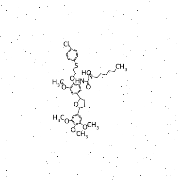 CCCCCCN(O)C(=O)Nc1cc(C2CCC(c3cc(OC)c(OC)c(OC)c3)O2)cc(OC)c1OCCSc1ccc(Cl)cc1